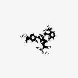 CN(C)C(=O)c1cc2c(s1)c(-c1ccc(C(=O)O)cc1F)nn2C(=O)c1c(Cl)cccc1C(F)(F)F